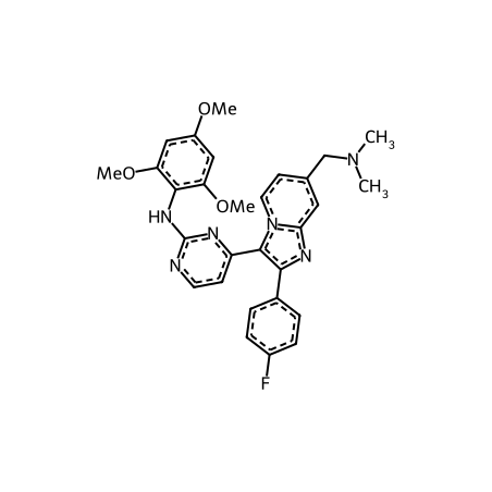 COc1cc(OC)c(Nc2nccc(-c3c(-c4ccc(F)cc4)nc4cc(CN(C)C)ccn34)n2)c(OC)c1